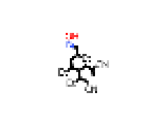 CCC(/C=N/O)CC(CC)C(CC(C)C#N)C(CC)CC#N